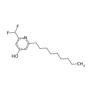 CCCCCCCCCc1cc(O)cc(C(F)F)n1